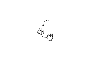 [CH2]CCCn1ccc(Cc2cccnc2)n1